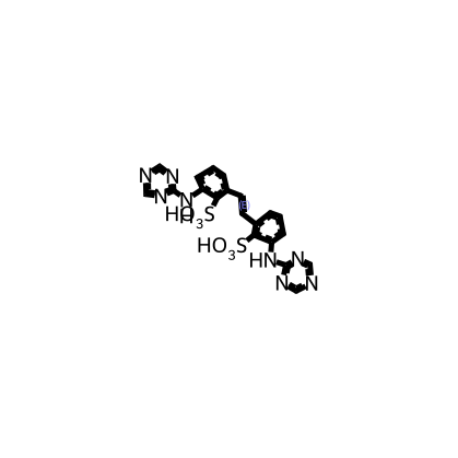 O=S(=O)(O)c1c(/C=C/c2cccc(Nc3ncncn3)c2S(=O)(=O)O)cccc1Nc1ncncn1